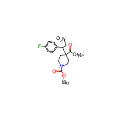 COC(=O)C1(C(C[N+](=O)[O-])c2ccc(F)cc2)CCN(C(=O)OC(C)(C)C)CC1